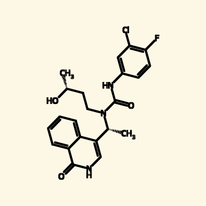 C[C@H](c1c[nH]c(=O)c2ccccc12)N(CC[C@@H](C)O)C(=O)Nc1ccc(F)c(Cl)c1